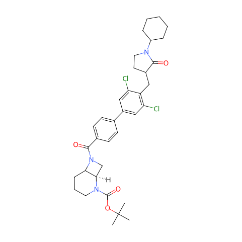 CC(C)(C)OC(=O)N1CCCC2[C@H]1CN2C(=O)c1ccc(-c2cc(Cl)c(CC3CCN(C4CCCCC4)C3=O)c(Cl)c2)cc1